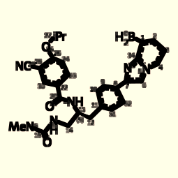 Bc1cccn2cc(-c3ccc(C[C@@H](CNC(=O)NC)NC(=O)c4ccc(OC(C)C)c(C#N)c4)cc3)nc12